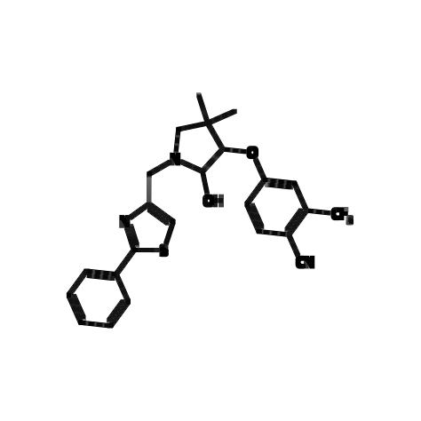 CC1(C)CN(Cc2csc(-c3ccccc3)n2)C(O)C1Oc1ccc(C#N)c(C(F)(F)F)c1